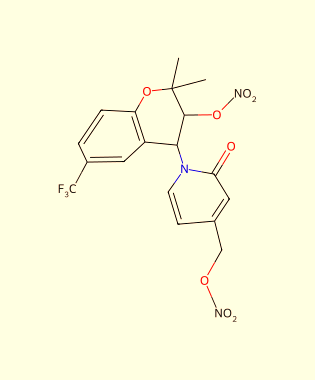 CC1(C)Oc2ccc(C(F)(F)F)cc2C(n2ccc(CO[N+](=O)[O-])cc2=O)C1O[N+](=O)[O-]